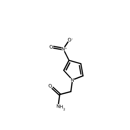 NC(=O)Cn1ccc([N+](=O)[O-])c1